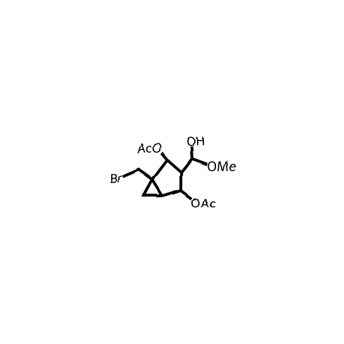 COC(O)C1C(OC(C)=O)C2CC2(CBr)C1OC(C)=O